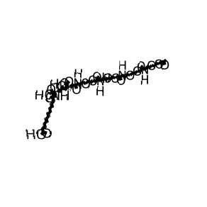 CC(=O)COCCOCCNC(=O)COCCOCCNC(=O)COCCOCCNC(O)COCCOCCNC(=O)CC[C@H](CC(=O)CC[C@H](NC(=O)CCCCCCCCCCCCC(=O)O)C(=O)O)C(=O)O